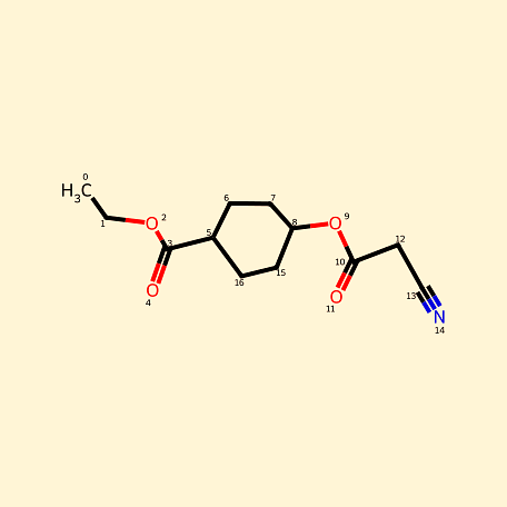 CCOC(=O)C1CCC(OC(=O)CC#N)CC1